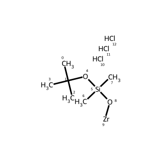 CC(C)(C)O[Si](C)(C)[O][Zr].Cl.Cl.Cl